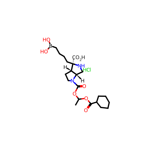 CC(OC(=O)C1CCCCC1)OC(=O)N1CC[C@H]2[C@@H]1CN[C@@]2(CCCCB(O)O)C(=O)O.Cl